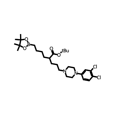 CC(C)(C)OC(=O)C(CCCCB1OC(C)(C)C(C)(C)O1)CCCN1CCN(c2ccc(Cl)c(Cl)c2)CC1